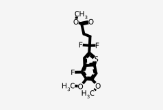 COC(=O)CCC(F)(F)c1cc2c(F)c(OC)c(OC)cc2s1